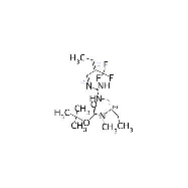 C/C=C(\C=N/C(=N)NC[C@H](CC)N(C)C(=O)OC(C)(C)C)C(F)(F)F